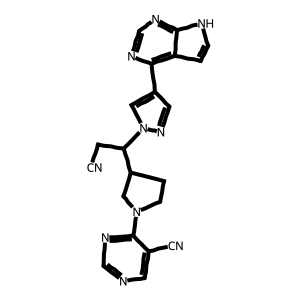 N#CCC(C1CCN(c2ncncc2C#N)C1)n1cc(-c2ncnc3[nH]ccc23)cn1